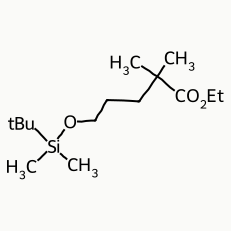 CCOC(=O)C(C)(C)CCCO[Si](C)(C)C(C)(C)C